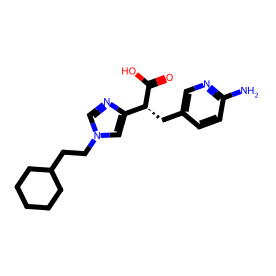 Nc1ccc(C[C@@H](C(=O)O)c2cn(CCC3CCCCC3)cn2)cn1